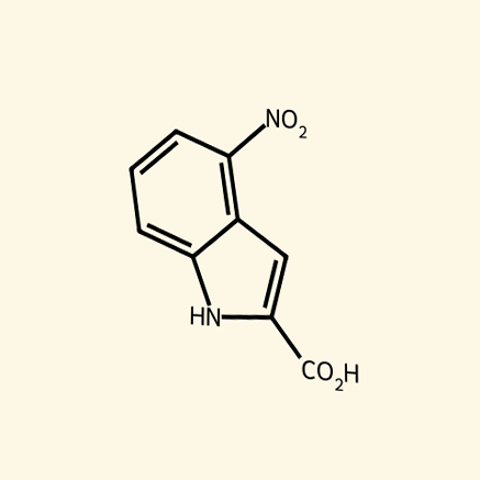 O=C(O)c1cc2c([N+](=O)[O-])cccc2[nH]1